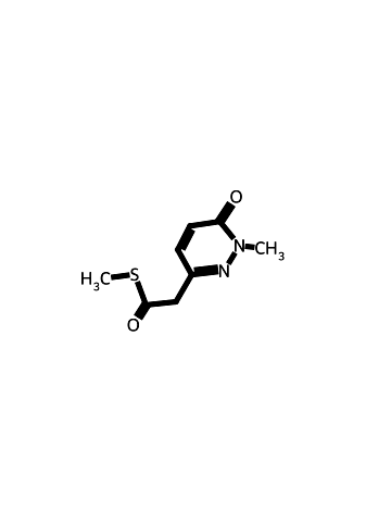 CSC(=O)Cc1ccc(=O)n(C)n1